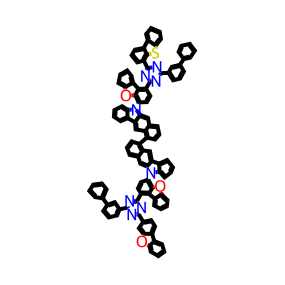 c1ccc(-c2cccc(-c3nc(-c4ccc5c(c4)oc4ccccc45)nc(-c4ccc(-n5c6ccccc6c6cc7c(-c8cccc9cc%10c(cc89)c8ccccc8n%10-c8ccc(-c9nc(-c%10cccc(-c%11ccccc%11)c%10)nc(-c%10cccc%11c%10sc%10ccccc%10%11)n9)c9c8oc8ccccc89)cccc7cc65)c5oc6ccccc6c45)n3)c2)cc1